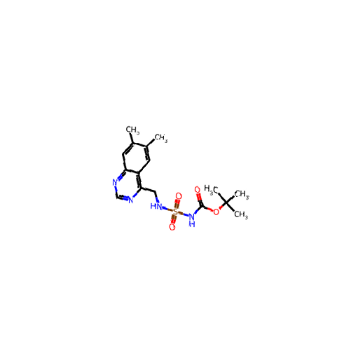 Cc1cc2ncnc(CNS(=O)(=O)NC(=O)OC(C)(C)C)c2cc1C